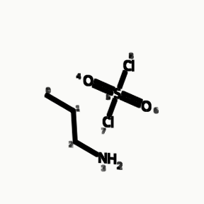 CCCN.O=S(=O)(Cl)Cl